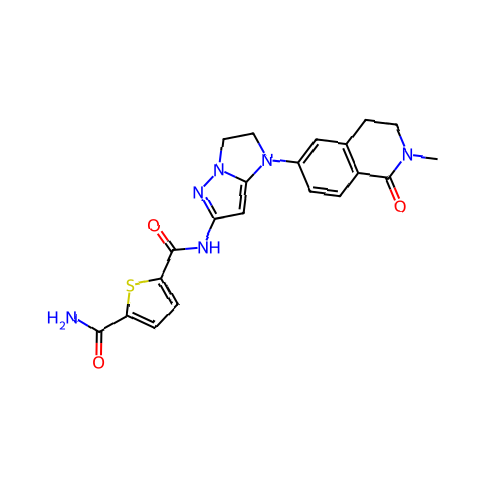 CN1CCc2cc(N3CCn4nc(NC(=O)c5ccc(C(N)=O)s5)cc43)ccc2C1=O